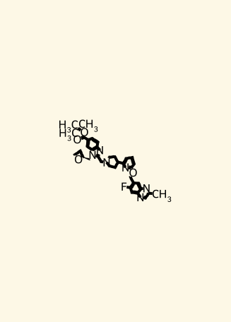 Cc1cnc2cc(F)c(COc3cccc(C4CCN(Cc5nc6ccc(C(=O)OC(C)(C)C)cc6n5C[C@@H]5CCO5)CC4)n3)cc2n1